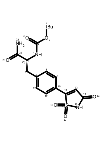 CC(C)(C)OC(=O)N[C@@H](Cc1ccc(C2=CC(=O)NS2(=O)=O)cc1)C(N)=O